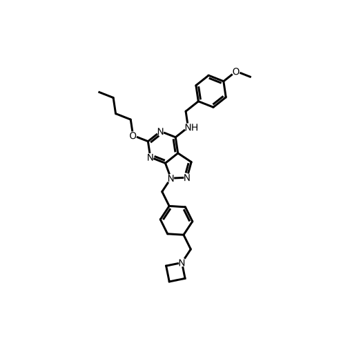 CCCCOc1nc(NCc2ccc(OC)cc2)c2cnn(CC3=CCC(CN4CCC4)C=C3)c2n1